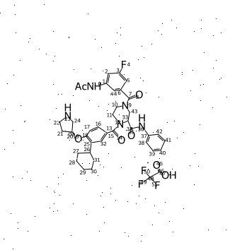 CC(=O)Nc1cc(F)cc(C(=O)N2CCN(C(=O)c3ccc(O[C@H]4CCNC4)c(C4CCCCC4)c3)C(C(=O)Nc3ccccc3)C2)c1.O=C(O)C(F)(F)F